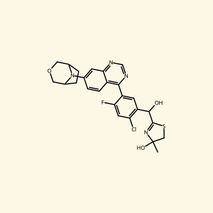 CC1(O)CSC(C(O)c2cc(-c3ncnc4cc(N5C6CCC5COC6)ccc34)c(F)cc2Cl)=N1